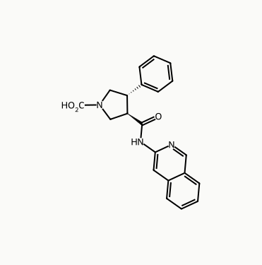 O=C(Nc1cc2ccccc2cn1)[C@H]1CN(C(=O)O)C[C@@H]1c1ccccc1